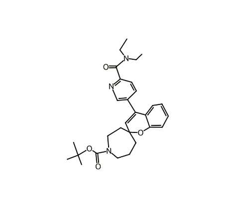 CCN(CC)C(=O)c1ccc(C2=CC3(CCCN(C(=O)OC(C)(C)C)CC3)Oc3ccccc32)cn1